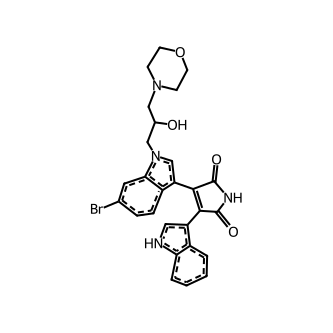 O=C1NC(=O)C(c2cn(CC(O)CN3CCOCC3)c3cc(Br)ccc23)=C1c1c[nH]c2ccccc12